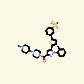 Cc1ccccc1-n1nc(C(=O)N2CCN(C3CCN(C)CC3)CC2)cc1-c1ccc(-c2cccc(S(C)(=O)=O)c2)s1